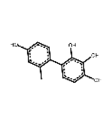 Cc1cc(O)ccc1-c1ccc(O)c(O)c1O